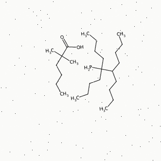 CCCCC(C)(C)C(=O)O.CCCCC(CCCC)C(P)(CCCC)CCCC